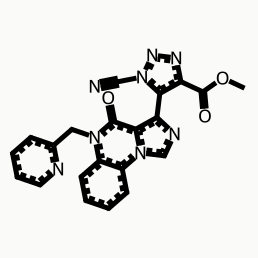 COC(=O)c1nnn(C#N)c1-c1ncn2c1c(=O)n(Cc1ccccn1)c1ccccc12